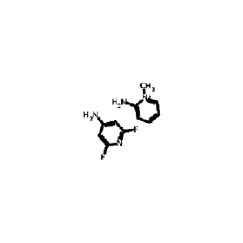 C[n+]1ccccc1N.Nc1cc(F)nc(F)c1